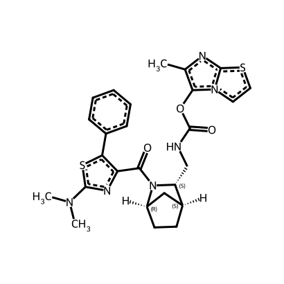 Cc1nc2sccn2c1OC(=O)NC[C@@H]1[C@H]2CC[C@H](C2)N1C(=O)c1nc(N(C)C)sc1-c1ccccc1